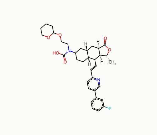 C[C@H]1OC(=O)[C@@H]2C[C@H]3C[C@H](N(CCOC4CCCCO4)C(=O)O)CC[C@H]3[C@H](C=Cc3ccc(-c4cccc(F)c4)cn3)[C@H]12